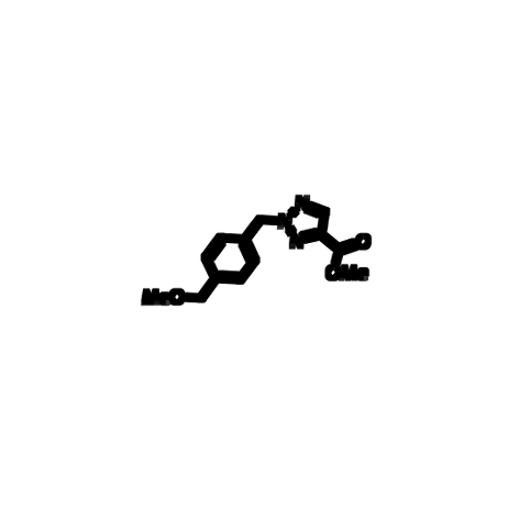 COCc1ccc(Cn2ncc(C(=O)OC)n2)cc1